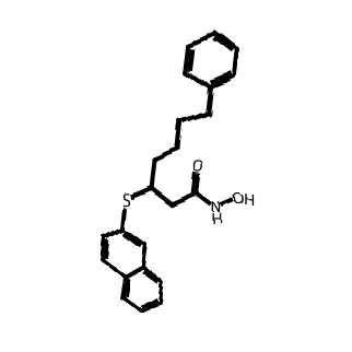 O=C(CC(CCCCc1ccccc1)Sc1ccc2ccccc2c1)NO